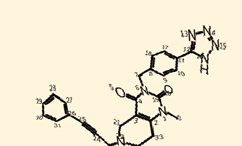 Cn1c2c(c(=O)n(Cc3ccc(-c4nnn[nH]4)cc3)c1=O)CN(CC#Cc1ccccc1)CC2